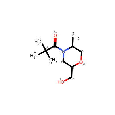 CC1COC(CO)CN1C(=O)C(C)(C)C